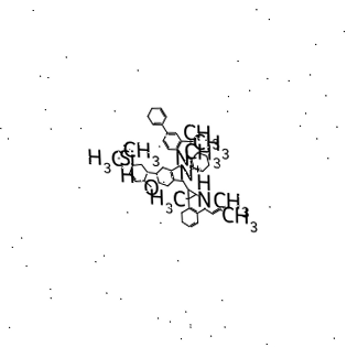 CC(C)=CC1NC2C(C3C4=C(CC5C(C4)OC4C=CC([SiH](C)C)CC45)c4n(-c5ccc(C6=CCCC=C6)cc5C(C)(C)C)c5c([n+]43)CCCC5)C2(C)C2=C1C=CCC2